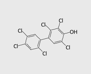 Oc1c(Cl)cc(-c2cc(Cl)c(Cl)cc2Cl)c(Cl)c1Cl